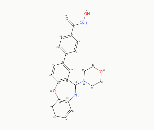 O=C(NO)c1ccc(-c2ccc3c(c2)C(N2CCOCC2)=NC2=C(CCC=C2)O3)cc1